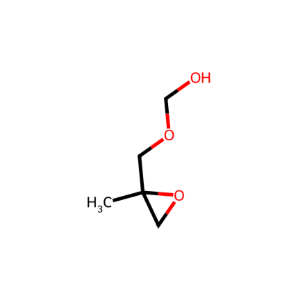 CC1(COCO)CO1